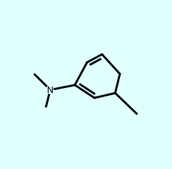 CC1C=C(N(C)C)C=CC1